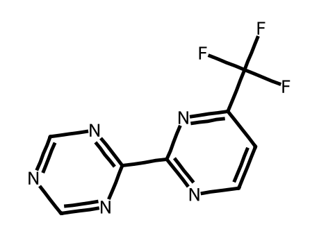 FC(F)(F)c1ccnc(-c2ncncn2)n1